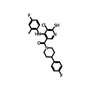 Cc1cc(F)ccc1Nc1c(C(=O)N2CCC(c3ccc(F)cc3)CC2)cnc(S)c1Cl